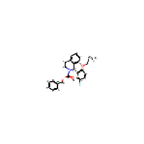 CCOC(=O)COc1ccc(F)cc1[C@@H]1c2ccccc2CCN1C(=O)OCc1ccccc1